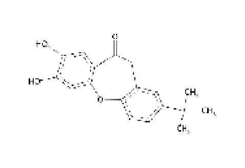 CC(C)(C)c1ccc2c(c1)CC(=O)c1cc(O)c(O)cc1O2